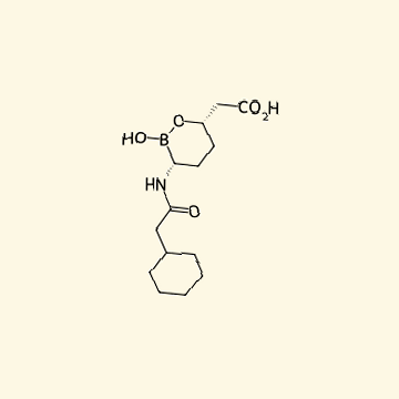 O=C(O)C[C@@H]1CC[C@H](NC(=O)CC2CCCCC2)B(O)O1